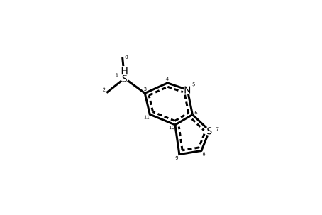 C[SH](C)c1cnc2sccc2c1